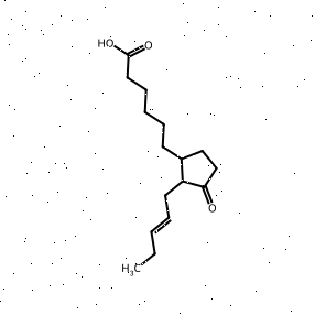 CCC=CCC1C(=O)CCC1CCCCCC(=O)O